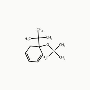 CC(C)(C)C1(O[Si](C)(C)C)C=CC=CC1